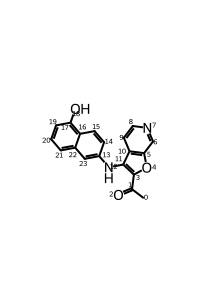 CC(=O)c1oc2cnccc2c1Nc1ccc2c(O)cccc2c1